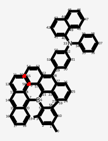 Cc1cc(C)c(B(c2c3ccccc3cc3ccccc23)c2c3ccccc3c(-c3ccc(N(c4ccccc4)c4cccc5ccccc45)cc3)c3ccccc23)c(C)c1